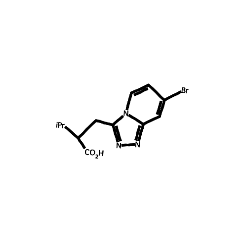 CC(C)C(Cc1nnc2cc(Br)ccn12)C(=O)O